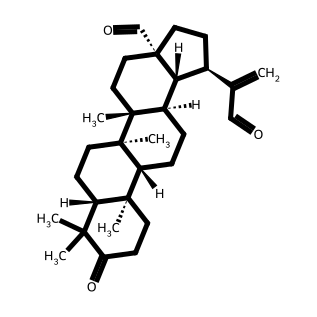 C=C(C=O)[C@@H]1CC[C@]2(C=O)CC[C@]3(C)[C@H](CC[C@@H]4[C@@]5(C)CCC(=O)C(C)(C)[C@@H]5CC[C@]43C)[C@@H]12